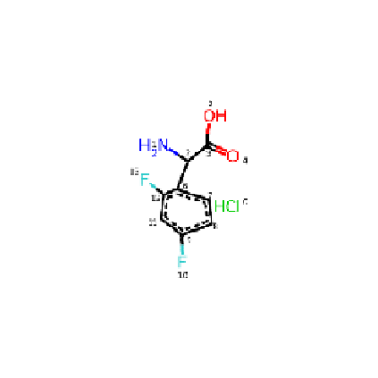 Cl.NC(C(=O)O)c1ccc(F)cc1F